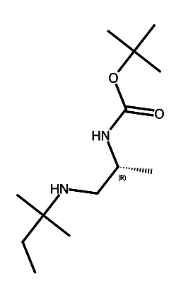 CCC(C)(C)NC[C@@H](C)NC(=O)OC(C)(C)C